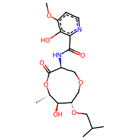 COc1ccnc(C(=O)N[C@H]2COC[C@H](OCC(C)C)[C@@H](O)[C@H](C)OC2=O)c1O